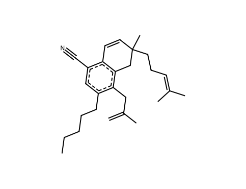 C=C(C)Cc1c(CCCCC)cc(C#N)c2c1CC(C)(CCC=C(C)C)C=C2